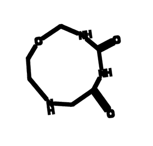 O=C1CNCCOCNC(=O)N1